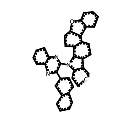 c1ccc2cc(-c3nc4ccccc4nc3-n3c4ccccc4c4ccc5c(ccc6oc7ccccc7c65)c43)ccc2c1